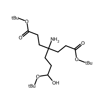 CC(C)(C)OC(=O)CCC(N)(CCC(=O)OC(C)(C)C)CCC(O)OC(C)(C)C